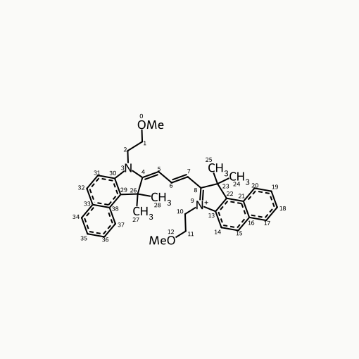 COCCN1/C(=C/C=C/C2=[N+](CCOC)c3ccc4ccccc4c3C2(C)C)C(C)(C)c2c1ccc1ccccc21